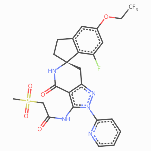 CS(=O)(=O)CC(=O)Nc1c2c(nn1-c1ccccn1)C[C@]1(CCc3cc(OCC(F)(F)F)cc(F)c31)NC2=O